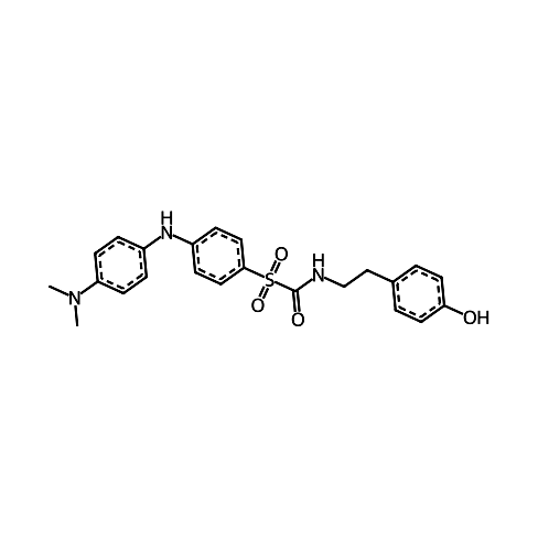 CN(C)c1ccc(Nc2ccc(S(=O)(=O)C(=O)NCCc3ccc(O)cc3)cc2)cc1